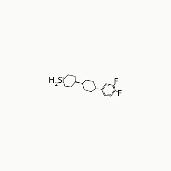 Fc1ccc([C@H]2CC[C@H](C3CC[SiH2]CC3)CC2)cc1F